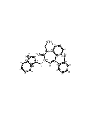 CCN1C(=O)[C@@H](Cc2c[nH]c3ccccc23)N=C(c2ccccc2F)c2ccccc21